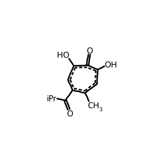 Cc1cc(O)c(=O)c(O)cc1C(=O)C(C)C